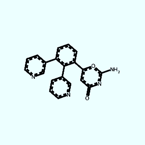 Nc1nc(=O)cc(-c2cccc(-c3cccnc3)c2-c2cccnc2)o1